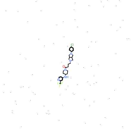 O=C(CCCN1CC2CN(c3ccc(Cl)cc3)CC2C1)N1CCC(Nc2ccnc(C(F)(F)F)c2)CC1